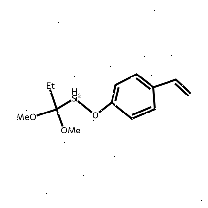 C=Cc1ccc(O[SiH2]C(CC)(OC)OC)cc1